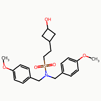 COc1ccc(CN(Cc2ccc(OC)cc2)S(=O)(=O)CCC2CC(O)C2)cc1